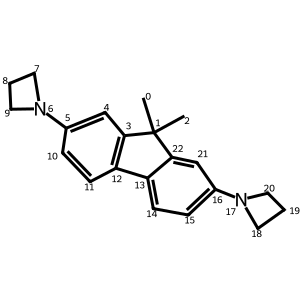 CC1(C)c2cc(N3CCC3)ccc2-c2ccc(N3CCC3)cc21